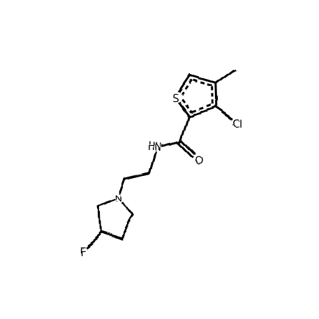 Cc1csc(C(=O)NCCN2CCC(F)C2)c1Cl